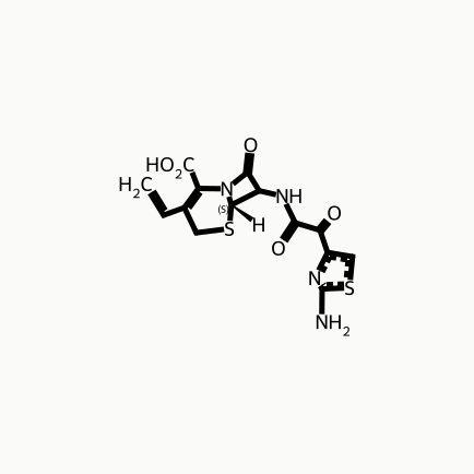 C=CC1=C(C(=O)O)N2C(=O)C(NC(=O)C(=O)c3csc(N)n3)[C@@H]2SC1